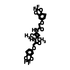 CC1=C(NC(=O)COc2ccc3c(c2)OC(F)(F)O3)CC1(C)NC(=O)COc1ccc2c(c1)OC(F)(F)O2